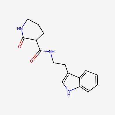 O=C1NCCCC1C(=O)NCCc1c[nH]c2ccccc12